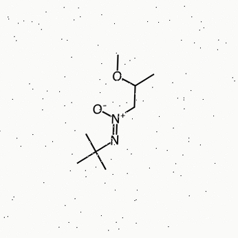 COC(C)C/[N+]([O-])=N/C(C)(C)C